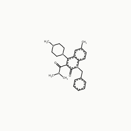 Cc1ccc2c(c1)c(N1CCN(C)CC1)c(C(=O)N(C)C)c(=O)n2Cc1ccccc1